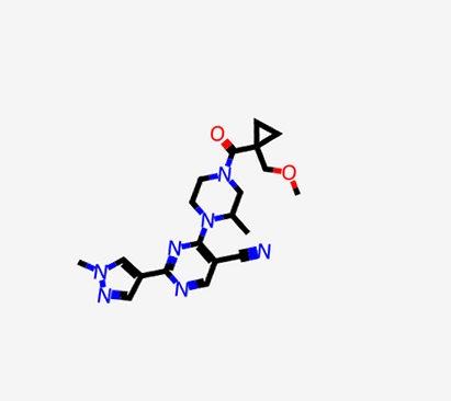 COCC1(C(=O)N2CCN(c3nc(-c4cnn(C)c4)ncc3C#N)C(C)C2)CC1